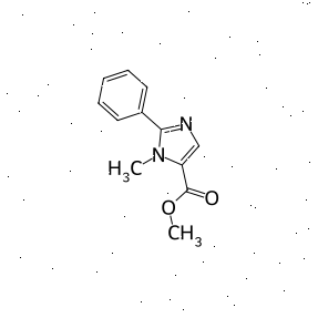 COC(=O)c1cnc(-c2ccccc2)n1C